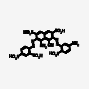 Nc1ccc(S(=O)(=O)O)c(N=Nc2c(S(=O)(=O)O)cc3cc(S(=O)(=O)O)c(N=Nc4ccc(S(=O)(=O)O)cc4S(=O)(=O)O)c(N)c3c2O)c1